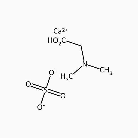 CN(C)CC(=O)O.O=S(=O)([O-])[O-].[Ca+2]